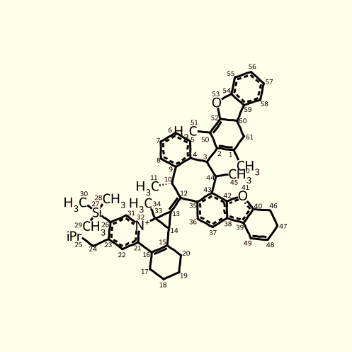 CC1=C(C2c3ccccc3[C@@H](C)/C(=C3/C4C5=C(CCCC5)c5cc(CC(C)C)c([Si](C)(C)C)c[n+]5C34C)c3ccc4c5c(oc4c3C2C)CCC=C5)C(C)=C2Oc3ccccc3C2C1